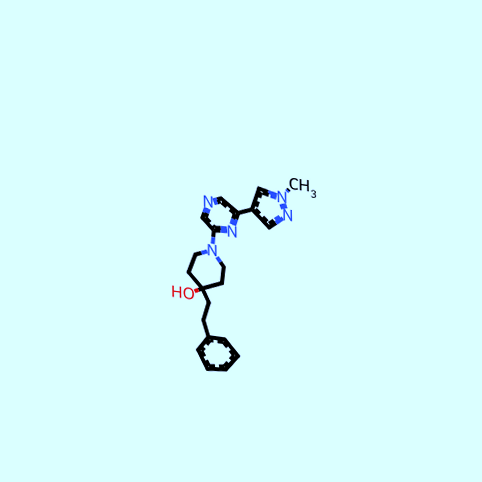 Cn1cc(-c2cncc(N3CCC(O)(CCc4ccccc4)CC3)n2)cn1